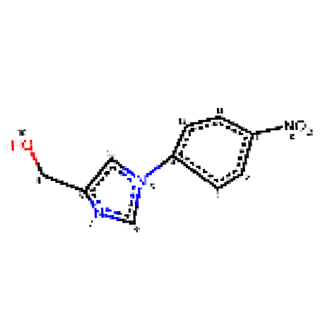 O=[N+]([O-])c1ccc(-n2cnc(CO)c2)cc1